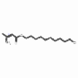 C/C(N)=C/C(=O)OCCCCCCCCCCCl